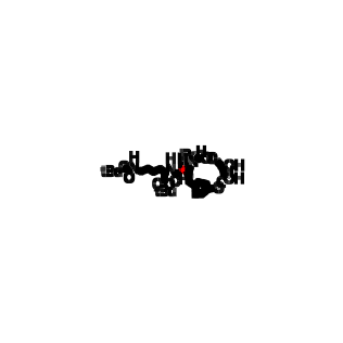 CC(C)[C@H]1COCC(O)[C@@H](O)COc2ccc(cc2)C[C@@H](NC(=O)NC(CCCCNC(=O)OC(C)(C)C)C(=O)OC(C)(C)C)C(=O)N1